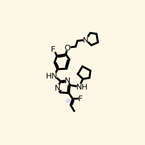 C/C=C(\F)c1cnc(Nc2ccc(OCCN3CCCC3)c(F)c2)nc1NC1CCCC1